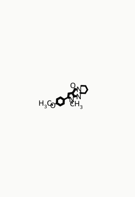 COc1ccc(-c2cc3c(=O)n4c(nc3n2C)CCCC4)cc1